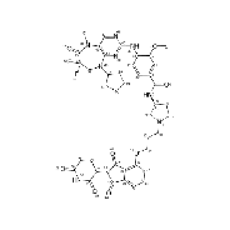 COc1cc(C(=O)N[C@H]2CCN(CCCOc3cccc4c3C(=O)N(C3CCC(=O)NC3=O)C4=O)C2)ccc1Nc1ncc2c(n1)N(C1CCCC1)CC(F)(F)C(=O)N2C